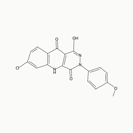 COc1ccc(-n2nc(O)c3c(=O)c4ccc(Cl)cc4[nH]c3c2=O)cc1